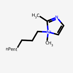 CCCCCCCC[N+]1(C)C=CN=C1C